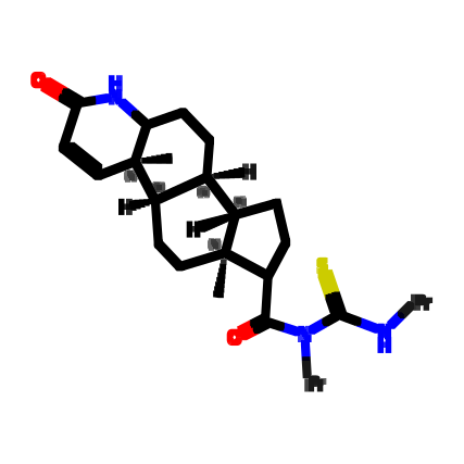 CC(C)NC(=S)N(C(=O)C1CC[C@H]2[C@@H]3CCC4NC(=O)C=C[C@]4(C)[C@@H]3CC[C@]12C)C(C)C